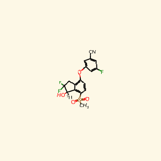 [2H][C@]1(O)c2c(S(C)(=O)=O)ccc(Oc3cc(F)cc(C#N)c3)c2CC1(F)F